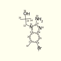 Cc1cc2c(cc1Br)nc(N)n2CC(C)(C)O